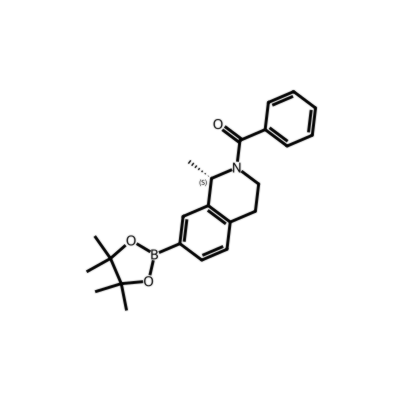 C[C@H]1c2cc(B3OC(C)(C)C(C)(C)O3)ccc2CCN1C(=O)c1ccccc1